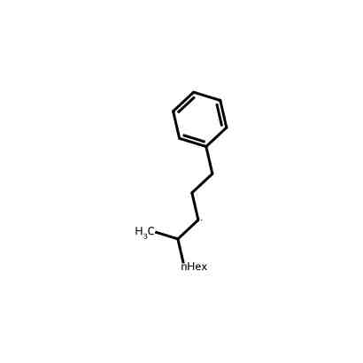 CCCCCCC(C)[CH]CCc1ccccc1